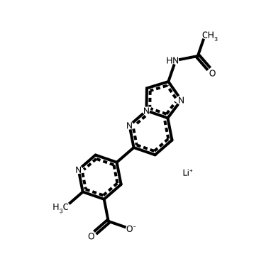 CC(=O)Nc1cn2nc(-c3cnc(C)c(C(=O)[O-])c3)ccc2n1.[Li+]